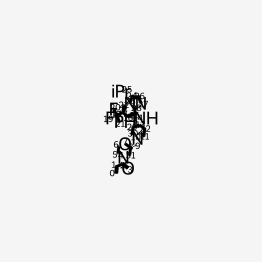 C=CC(=O)N1CCO[C@H](CN2CCC(Nc3cc(C(F)(F)P)cn4c(C(C)C)cnc34)CC2)C1